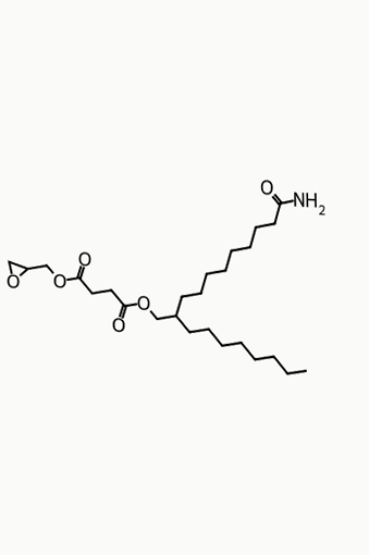 CCCCCCCCC(CCCCCCCCC(N)=O)COC(=O)CCC(=O)OCC1CO1